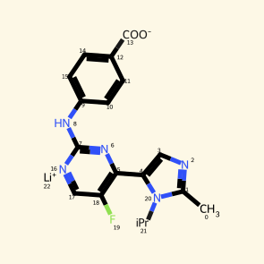 Cc1ncc(-c2nc(Nc3ccc(C(=O)[O-])cc3)ncc2F)n1C(C)C.[Li+]